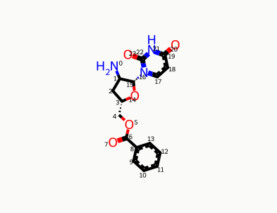 NC1C[C@@H](COC(=O)c2ccccc2)O[C@H]1n1ccc(=O)[nH]c1=O